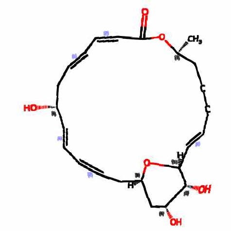 C[C@@H]1CCC/C=C/[C@@H]2O[C@H](C/C=C\C=C\[C@H](O)C/C=C/C=C\C(=O)O1)C[C@@H](O)[C@H]2O